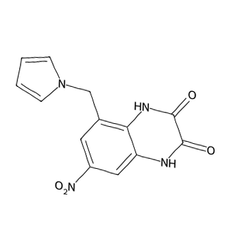 O=c1[nH]c2cc([N+](=O)[O-])cc(Cn3cccc3)c2[nH]c1=O